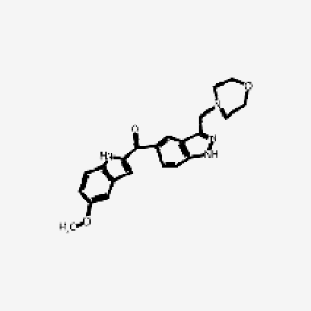 COc1ccc2[nH]c(C(=O)c3ccc4[nH]nc(CN5CCOCC5)c4c3)cc2c1